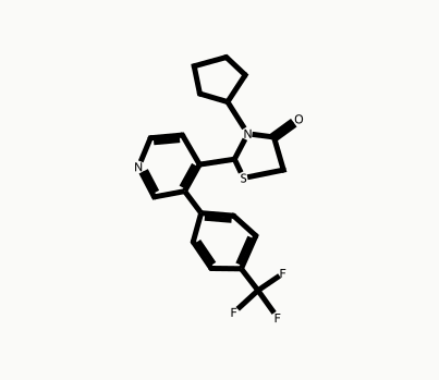 O=C1CSC(c2ccncc2-c2ccc(C(F)(F)F)cc2)N1C1CCCC1